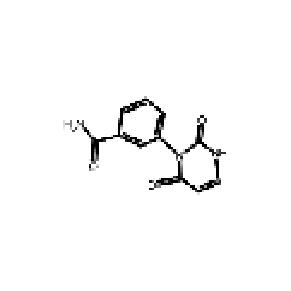 NC(=O)c1cccc(-n2c(=O)cc[nH]c2=O)c1